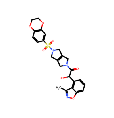 Cc1noc2cccc(C(O)C(=O)N3CC4=C(C3)CN(S(=O)(=O)c3ccc5c(c3)OCCO5)C4)c12